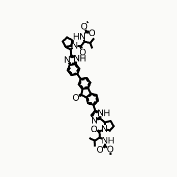 COC(=O)NC(C(=O)N1CCCC1c1ncc(-c2ccc3c(c2)C(=O)c2cc(-c4ccc5nc(C6C7CCC(C7)N6C(=O)C(NC(=O)OC)C(C)C)[nH]c5c4)ccc2-3)[nH]1)C(C)C